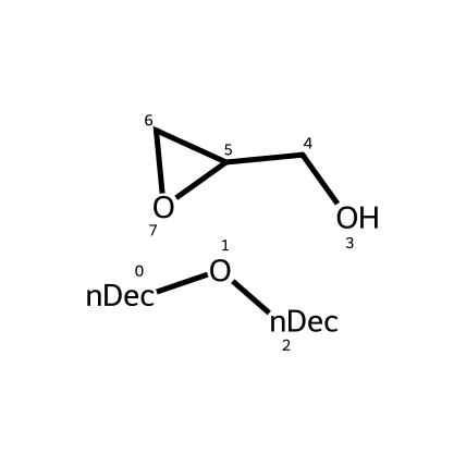 CCCCCCCCCCOCCCCCCCCCC.OCC1CO1